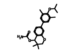 Cc1cc(-c2ccc3c(c2)OCC(C)(C)C3OC(N)=O)cc(C)c1OC(C)C